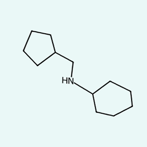 C1CCC(NCC2CCCC2)CC1